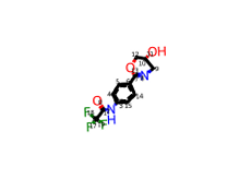 O=C(Nc1ccc(C2=NCC(O)CO2)cc1)C(F)(F)F